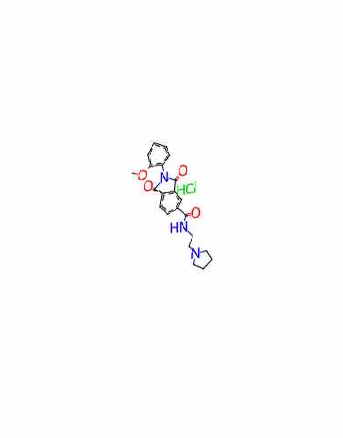 COc1ccccc1N1C(=O)c2ccc(C(=O)NCCN3CCCC3)cc2C1=O.Cl